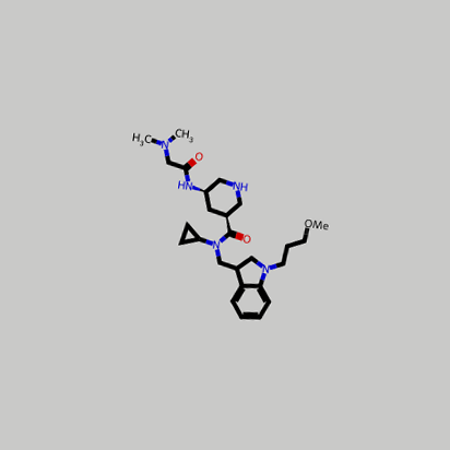 COCCCN1CC(CN(C(=O)[C@@H]2CNC[C@H](NC(=O)CN(C)C)C2)C2CC2)c2ccccc21